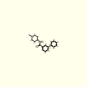 CN1CCC(NC(=O)c2cccc(-c3ccccc3)c2)CC1